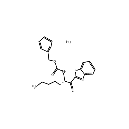 Cl.NCCCC[C@H](NC(=O)OCc1ccccc1)C(=O)c1nc2ccccc2s1